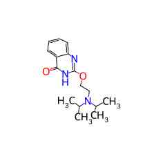 CC(C)N(CCOc1nc2ccccc2c(=O)[nH]1)C(C)C